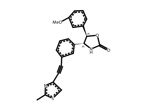 COc1cccc([C@H]2OC(=O)N[C@@H]2c2cccc(C#Cc3csc(C)n3)c2)c1